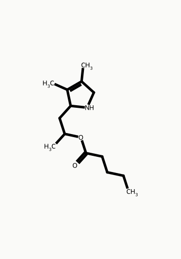 CCCCC(=O)OC(C)CC1NCC(C)=C1C